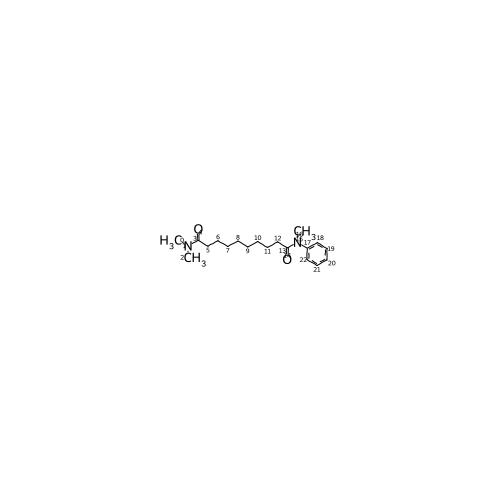 CN(C)C(=O)CCCCCCCCC(=O)N(C)c1ccccc1